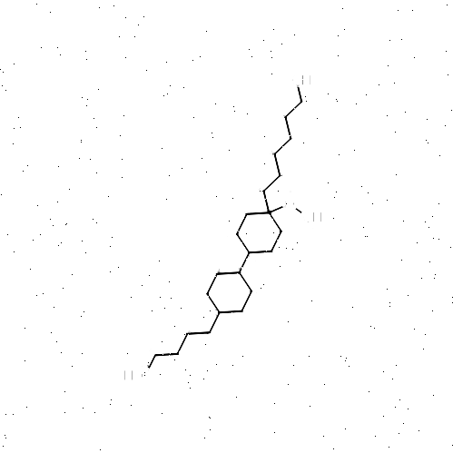 CCCCCCCC1(OC)CCC(C2CCC(CCCCC)CC2)CC1